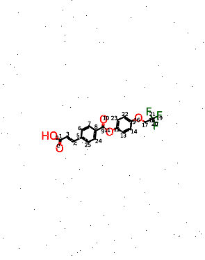 O=C(O)/C=C/c1ccc(C(=O)Oc2ccc(OCC(F)(F)F)cc2)cc1